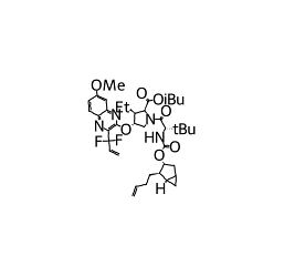 C=CCC[C@H]1[C@H](OC(=O)N[C@H](C(=O)N2C[C@H](Oc3nc4cc(OC)ccc4nc3C(F)(F)C=C)[C@@H](CC)[C@H]2C(=O)OCC(C)C)C(C)(C)C)CC2C[C@@H]21